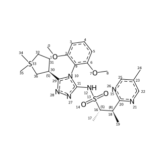 COc1cccc(OC)c1-n1c(NS(=O)(=O)[C@@H](C)[C@H](C)c2ncc(C)cn2)nnc1[C@@H]1CCS(C)(C)C1